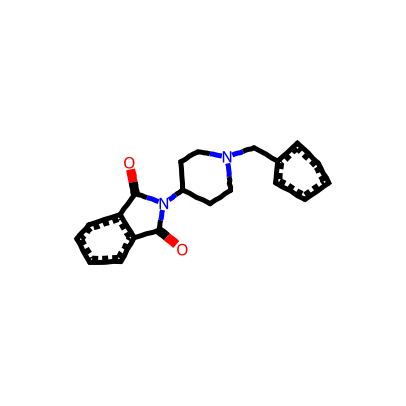 O=C1c2ccccc2C(=O)N1C1CCN(Cc2ccccc2)CC1